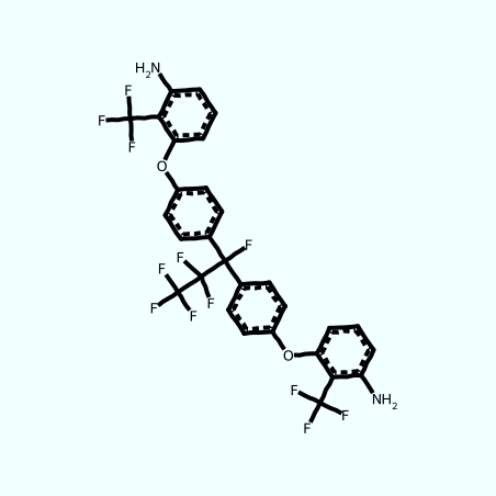 Nc1cccc(Oc2ccc(C(F)(c3ccc(Oc4cccc(N)c4C(F)(F)F)cc3)C(F)(F)C(F)(F)F)cc2)c1C(F)(F)F